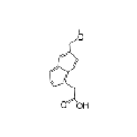 COCc1ccc2c(CC(=O)O)cccc2c1